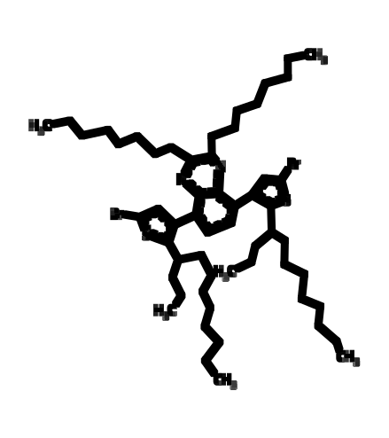 CCCCCCCCc1nc2c(-c3cc(Br)sc3C(CCC)CCCCCCCC)ccc(-c3cc(Br)sc3C(CCC)CCCCCCCC)c2nc1CCCCCCCC